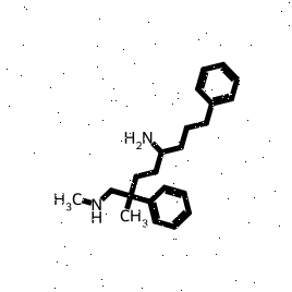 CNCC(C)(CCC(N)CCCc1ccccc1)c1ccccc1